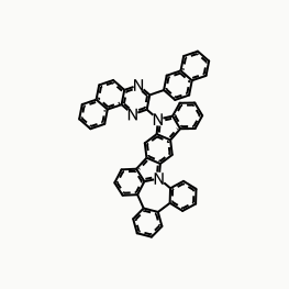 c1ccc2c(c1)-c1ccccc1-n1c3cc4c5ccccc5n(-c5nc6c(ccc7ccccc76)nc5-c5ccc6ccccc6c5)c4cc3c3cccc-2c31